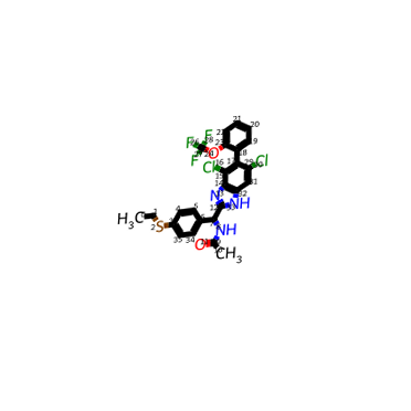 CCSc1ccc(C(NC(C)=O)c2nc3c(Cl)c(-c4ccccc4OC(F)(F)F)c(Cl)cc3[nH]2)cc1